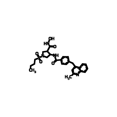 CCCCS(=O)(=O)N1CC(NC(=O)c2ccc(Cc3cc(C)nc4ccccc34)cc2)C(C(=O)NO)C1